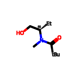 CC[C@@H](CO)N(C)C(=O)C(C)(C)C